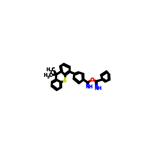 CC1(C)c2ccccc2Sc2c(-c3ccc(C(=N)OC(=N)c4ccccc4)cc3)cccc21